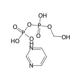 O=P(O)(O)OP(=O)(O)OCO.c1cncnc1